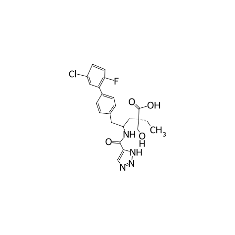 CC[C@](CO)(CC(Cc1ccc(-c2cc(Cl)ccc2F)cc1)NC(=O)c1cnn[nH]1)C(=O)O